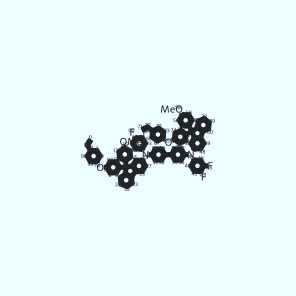 C=Cc1ccc(Oc2ccc(C3(c4ccc(OC)cc4)c4ccccc4-c4ccc(N(c5ccc(-c6ccc(N(c7ccc(F)c(F)c7)c7ccc8c(c7)C(c7ccc(OC)cc7)(c7ccc(Oc9ccc(C=C)cc9)cc7)c7ccccc7-8)cc6)cc5)c5ccc(F)c(F)c5)cc43)cc2)cc1